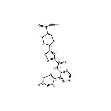 CCCCCC(=O)N1CCC(c2nc(C(=O)Nc3ccccc3-c3ccc(C)cc3)cs2)CC1